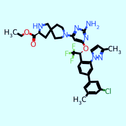 CCOC(=O)[C@@H]1CC2(CCN(c3cc(O[C@H](c4ccc(-c5cc(C)cc(Cl)c5)cc4-n4ccc(C)n4)C(F)(F)F)nc(N)n3)CC2)CN1